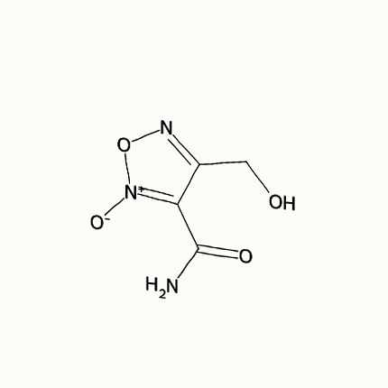 NC(=O)c1c(CO)no[n+]1[O-]